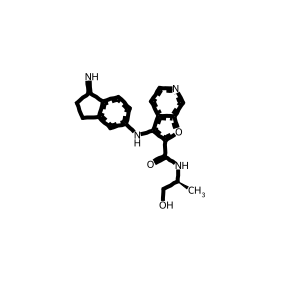 C[C@@H](CO)NC(=O)c1oc2cnccc2c1Nc1ccc2c(c1)CCC2=N